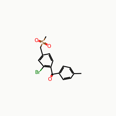 Cc1ccc(C(=O)c2ccc(CS(C)(=O)=O)cc2Br)cc1